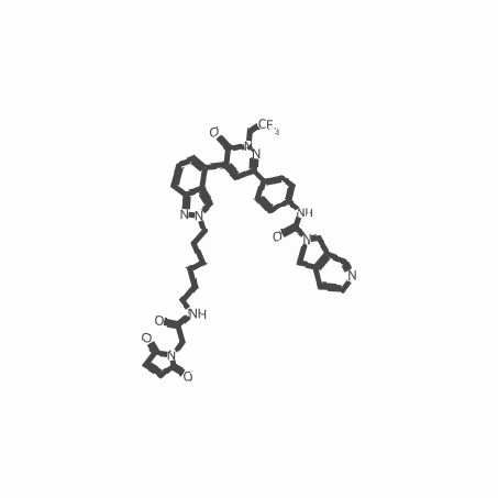 O=C(CN1C(=O)C=CC1=O)NCCCCCCn1cc2c(-c3cc(-c4ccc(NC(=O)N5Cc6ccncc6C5)cc4)nn(CC(F)(F)F)c3=O)cccc2n1